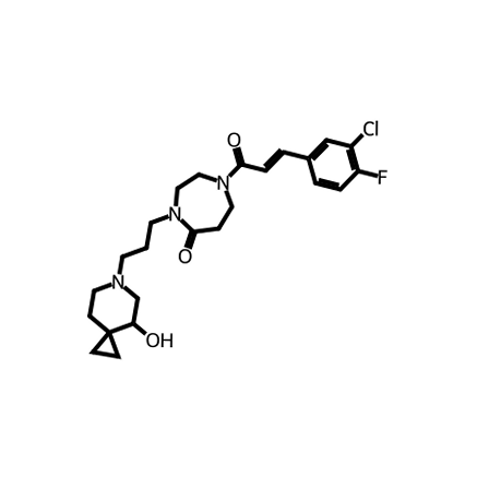 O=C(C=Cc1ccc(F)c(Cl)c1)N1CCC(=O)N(CCCN2CCC3(CC3)C(O)C2)CC1